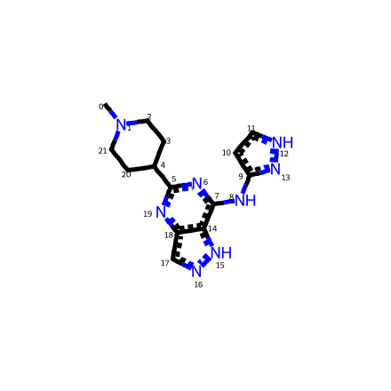 CN1CCC(c2nc(Nc3cc[nH]n3)c3[nH]ncc3n2)CC1